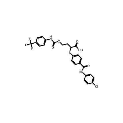 O=C(Nc1ccc(C(F)(F)F)cc1)OCCC(Sc1ccc(C(=O)Nc2ccc(Cl)cc2)cc1)C(=O)O